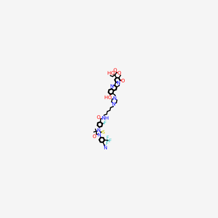 CC[C@@]1(O)C(=O)OCc2c1cc1n(c2=O)Cc2cc3c(CN4CCN(CCCCCCNC(=O)c5ccc(N6C(=S)N(c7ccc(C#N)c(C(F)(F)F)c7)C(=O)C6(C)C)cc5F)CC4)c(O)ccc3nc2-1